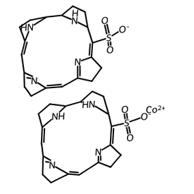 O=S(=O)([O-])C1=C2CCC(=N2)C=C2CCC(=N2)C=C2CCC(N2)C2CCC1N2.O=S(=O)([O-])C1=C2CCC(=N2)C=C2CCC(=N2)C=C2CCC(N2)C2CCC1N2.[Co+2]